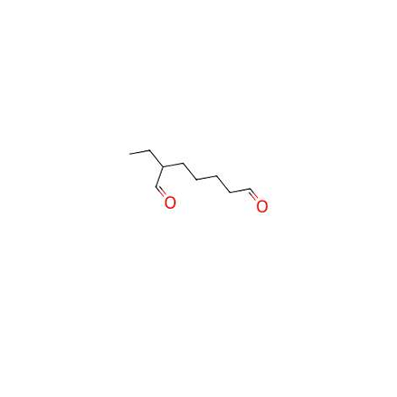 CCC(C=O)CCCCC=O